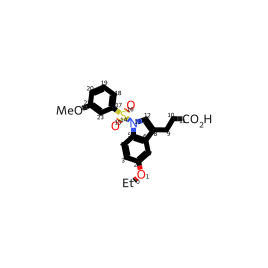 CCOc1ccc2c(c1)c(CCC(=O)O)cn2S(=O)(=O)c1cccc(OC)c1